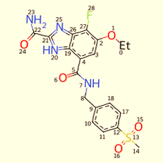 CCOc1cc(C(=O)NCc2ccc(S(C)(=O)=O)cc2)c2[nH]c(C(N)=O)nc2c1F